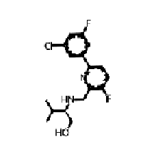 CC(C)[C@H](CO)NCc1nc(-c2cc(F)cc(Cl)c2)ccc1F